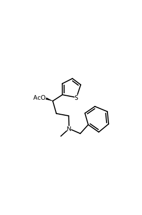 CC(=O)O[C@H](CCN(C)Cc1ccccc1)c1cccs1